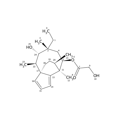 CC[C@]1(C)C[C@@H](OC(=O)CO)[C@@]2(C)C3=CC=C[C@@]3(CC[C@H]2C)[C@@H](C)[C@@H]1O